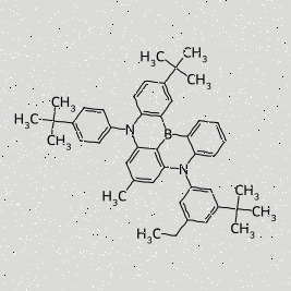 CCc1cc(N2c3ccccc3B3c4cc(C(C)(C)C)ccc4N(c4ccc(C(C)(C)C)cc4)c4cc(C)cc2c43)cc(C(C)(C)C)c1